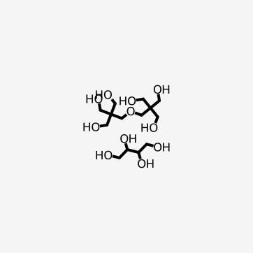 OCC(CO)(CO)COCC(CO)(CO)CO.OCC(O)C(O)CO